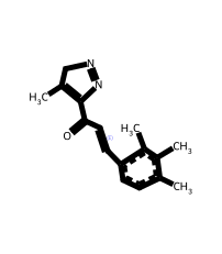 CC1=C(C(=O)/C=C/c2ccc(C)c(C)c2C)N=NC1